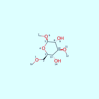 COC[C@H]1O[C@@H](OC)[C@H](O)[C@@H](OC)[C@@H]1O